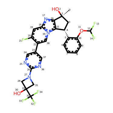 C[C@]1(O)C[C@H](c2ccccc2OC(F)F)c2c1nc1cc(F)c(-c3cnc(N4CC(O)(C(F)(F)F)C4)nc3)cn21